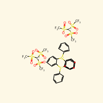 O=S(=O)([C-](S(=O)(=O)C(F)(F)F)S(=O)(=O)C(F)(F)F)C(F)(F)F.O=S(=O)([C-](S(=O)(=O)C(F)(F)F)S(=O)(=O)C(F)(F)F)C(F)(F)F.c1ccc([S+](c2ccccc2)c2ccccc2[S+](c2ccccc2)c2ccccc2)cc1